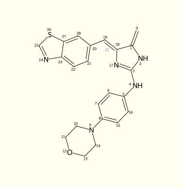 C=c1[nH]c(Nc2ccc(N3CCOCC3)cc2)n/c1=C\c1ccc2ncsc2c1